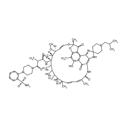 CO[C@H]1/C=C/O[C@@]2(C)Oc3c(C)c(O)c4c(c3C2=O)C2=NC3(CCN(CC(C)C)CC3)NC2=C(NC(=O)/C(C)=C\C=C\[C@H](C)[C@H](O)[C@@H](C)[C@@H](O)[C@@H](C)[C@H](OC(=O)C(C)C(=O)N2CCN(c3ccccc3S(N)(=O)=O)CC2)[C@@H]1C)C4=O